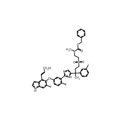 CCOC(=O)/C=C/c1c(Oc2ccc(F)c(-c3ncc(C(C)(CCS(=O)(=O)CCN(C)C(=O)OCc4ccccc4)c4cccc(I)c4)[nH]3)c2)c(F)cc2[nH]ccc12